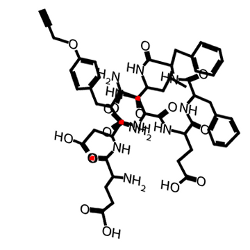 C#CCOc1ccc(CC(NC(=O)C(CC(C)C)NC(=O)C(Cc2ccccc2)NC(=O)C(Cc2ccccc2)NC(=O)C(CCC(=O)O)NC(=O)C(CC(N)=O)NC(=O)C(CC(=O)O)NC(=O)C(N)CCC(=O)O)C(N)=O)cc1